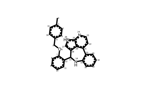 Cc1ccc(COc2ccccc2C2Nc3ccccc3-c3ccnc4[nH]cc2c34)cc1